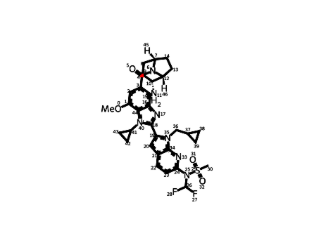 COc1cc(C(=O)N2[C@@H]3CC[C@@H](N)[C@H]2CC3)cc2nc(-c3cc4ccc(N(C(F)F)S(C)(=O)=O)nc4n3CC3CC3)n(C3CC3)c12